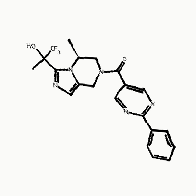 C[C@H]1CN(C(=O)c2cnc(-c3ccccc3)nc2)Cc2cnc(C(C)(O)C(F)(F)F)n21